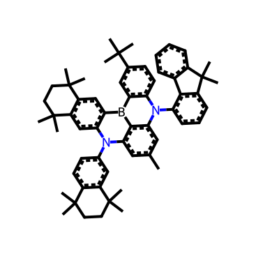 Cc1cc2c3c(c1)N(c1cccc4c1-c1ccccc1C4(C)C)c1ccc(C(C)(C)C)cc1B3c1cc3c(cc1N2c1ccc2c(c1)C(C)(C)CCC2(C)C)C(C)(C)CCC3(C)C